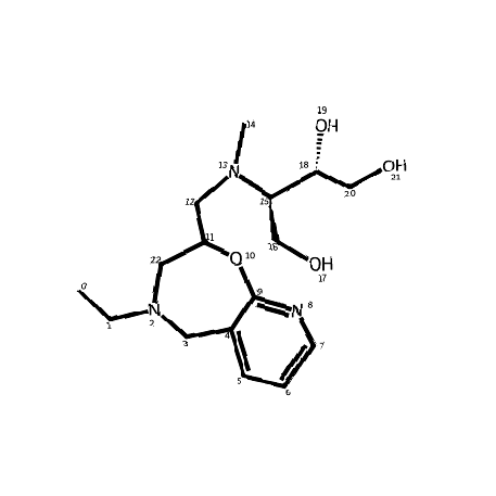 CCN1Cc2cccnc2OC(CN(C)[C@H](CO)[C@H](O)CO)C1